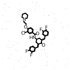 O=C1/C(=C/c2ccc(F)c(F)c2)CC(NC(=O)c2ccc(OCCN3CCCCC3)c(Cl)c2)C/C1=C\c1ccc(F)c(F)c1